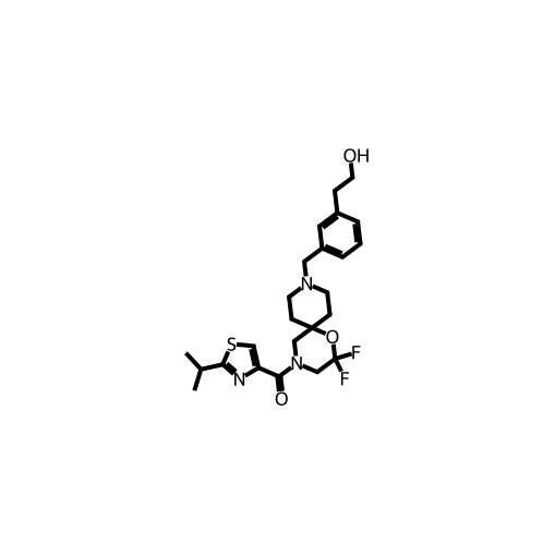 CC(C)c1nc(C(=O)N2CC(F)(F)OC3(CCN(Cc4cccc(CCO)c4)CC3)C2)cs1